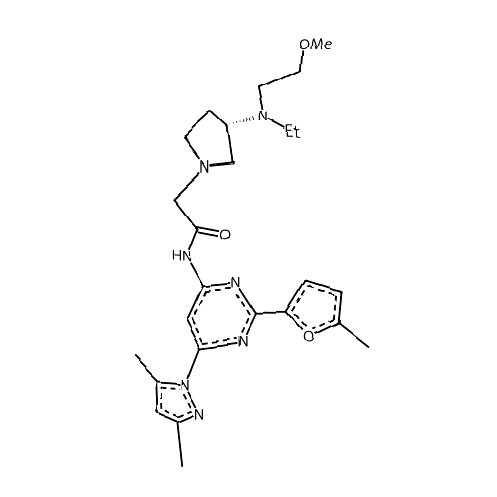 CCN(CCOC)[C@H]1CCN(CC(=O)Nc2cc(-n3nc(C)cc3C)nc(-c3ccc(C)o3)n2)C1